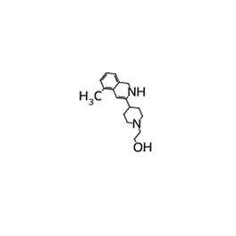 Cc1cccc2c1C=C(C1CCN(CCO)CC1)NC2